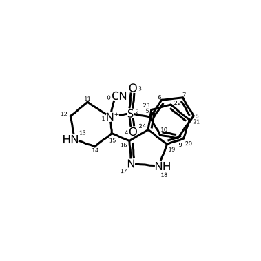 N#C[N+]1(S(=O)(=O)c2ccccc2)CCNCC1c1n[nH]c2ccccc12